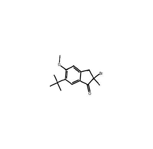 COc1cc2c(cc1C(C)(C)C)C(=O)C(C)(Br)C2